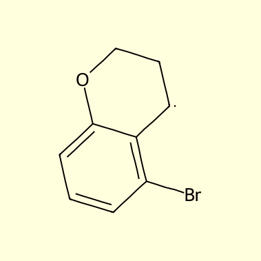 Brc1cccc2c1[CH]CCO2